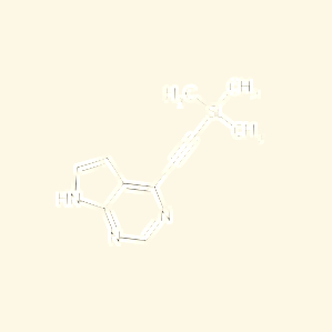 C[Si](C)(C)C#Cc1ncnc2[nH]ccc12